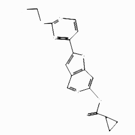 CCOc1nccc(-c2cc3cnc(NC(=O)C4CC4)cc3[nH]2)n1